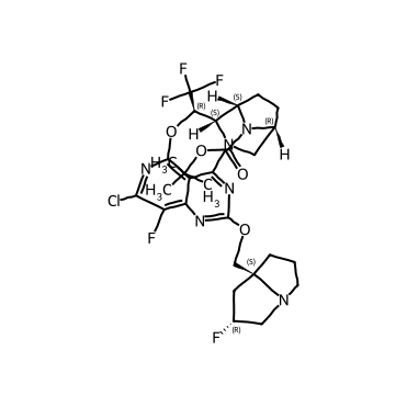 CC(C)(C)OC(=O)N1[C@@H]2CC[C@H]1[C@H]1[C@H](C(F)(F)F)Oc3nc(Cl)c(F)c4nc(OC[C@@]56CCCN5C[C@H](F)C6)nc(c34)N1C2